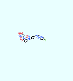 O=C1NC(O)CCC1N1C(=O)c2cccc(NCc3ccc(CN4CCN(c5ccc(C(F)(F)F)cn5)CC4)cc3)c2C1=O